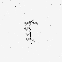 C=C(/N=C\NC)SC/C=C(\C)CC/C=C(\C)CCC=C(C)C